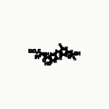 CCOC(=O)[C@@H](NC(=O)c1cc(Cc2c(C)cc(CP(C)(=O)O)cc2C)ccc1O)C(C)C